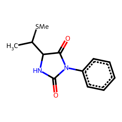 CSC(C)C1NC(=O)N(c2ccccc2)C1=O